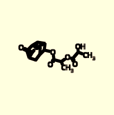 CC(O)C(=O)OC(C)C(=O)OC1C2CC3CC(C2)C(=O)OC1C3